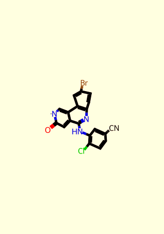 N#Cc1ccc(Cl)c(Nc2nc3ccc(Br)cc3c3c2=CC(=O)[N]C=3)c1